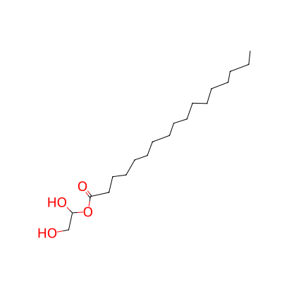 CCCCCCCCCCCCCCCCC(=O)OC(O)CO